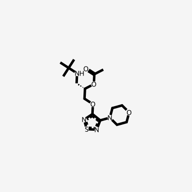 CC(=O)O[C@@H](CNC(C)(C)C)COc1nsnc1N1CCOCC1